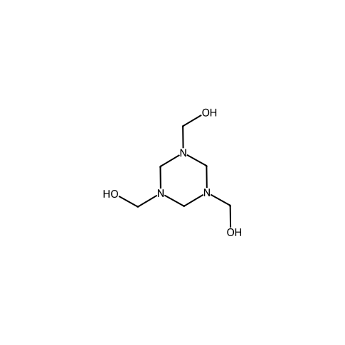 OCN1CN(CO)CN(CO)C1